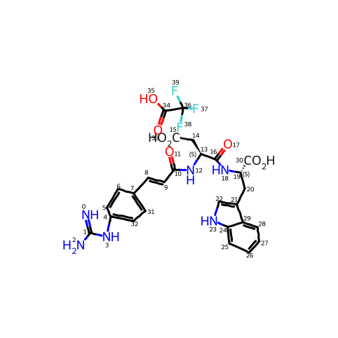 N=C(N)Nc1ccc(C=CC(=O)N[C@@H](CC(=O)O)C(=O)N[C@@H](Cc2c[nH]c3ccccc23)C(=O)O)cc1.O=C(O)C(F)(F)F